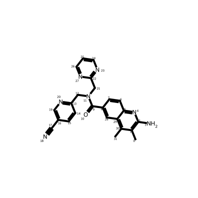 Cc1c(N)nc2ccc(C(=O)N(Cc3ccc(C#N)cn3)Cc3ncccn3)cc2c1C